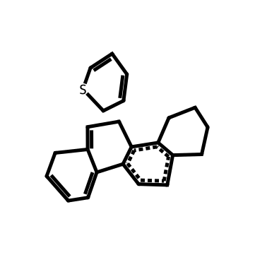 C1=CCC2=CCc3c(ccc4c3CCCC4)C2=C1.C1=CCSC=C1